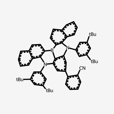 CC(C)(C)c1cc(N2c3cc(-c4ccccc4C#N)cc4c3B(c3ccc5ccccc5c32)c2ccc3ccccc3c2N4c2cc(C(C)(C)C)cc(C(C)(C)C)c2)cc(C(C)(C)C)c1